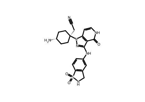 N#CC[C@]1(n2nc(Nc3ccc4c(c3)CNS4(=O)=O)c3c(=O)[nH]ccc32)CC[C@H](N)CC1